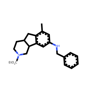 CCOC(=O)N1CCC2Cc3c(C)cc(NCc4ccccc4)cc3C2C1